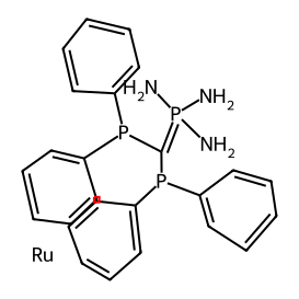 NP(N)(N)=C(P(c1ccccc1)c1ccccc1)P(c1ccccc1)c1ccccc1.[Ru]